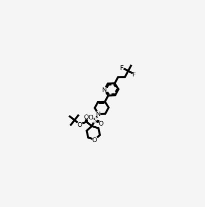 CC(F)(F)CCc1ccc(C2=CCN(S(=O)(=O)C3(C(=O)OC(C)(C)C)CCOCC3)CC2)nc1